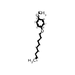 C=CCCCCCCCOc1ccc(OC)cc1